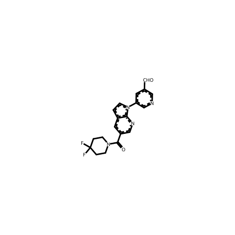 O=Cc1cncc(-n2ccc3cc(C(=O)N4CCC(F)(F)CC4)cnc32)c1